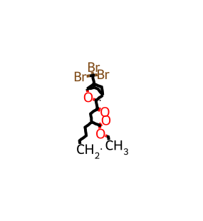 [CH2]CCCC(CC(=O)[C]1OC2CCC1CC2C(Br)(Br)Br)C(=O)OCC